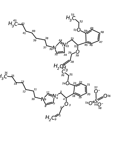 C=CCOC(C[n+]1ccn(CCCCCCC)c1)c1ccccc1OCC.C=CCOC(C[n+]1ccn(CCCCCCC)c1)c1ccccc1OCC.O=S(=O)([O-])[O-]